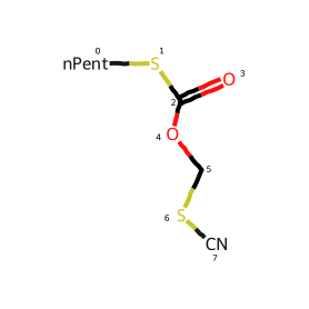 CCCCCSC(=O)OCSC#N